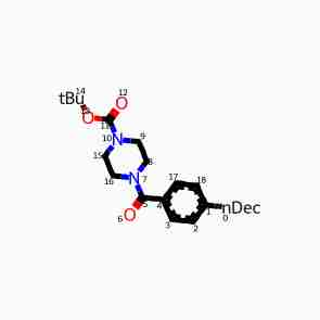 CCCCCCCCCCc1ccc(C(=O)N2CCN(C(=O)OC(C)(C)C)CC2)cc1